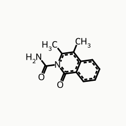 Cc1c(C)n(C(N)=O)c(=O)c2ccccc12